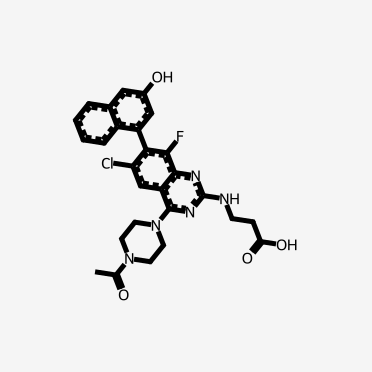 CC(=O)N1CCN(c2nc(NCCC(=O)O)nc3c(F)c(-c4cc(O)cc5ccccc45)c(Cl)cc23)CC1